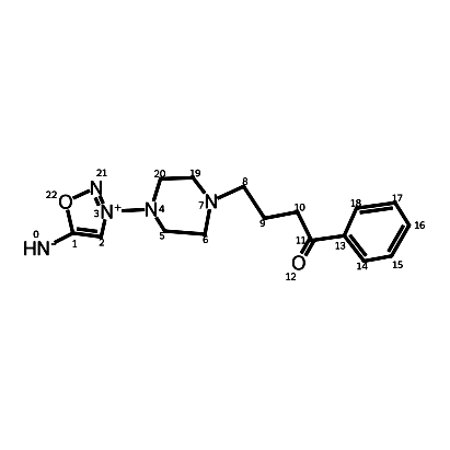 [NH-]c1c[n+](N2CCN(CCCC(=O)c3ccccc3)CC2)no1